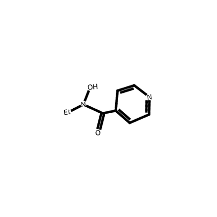 CCN(O)C(=O)c1ccncc1